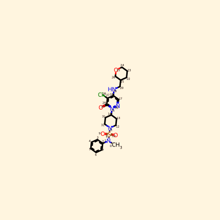 CN(c1ccccc1)S(=O)(=O)N1CCC(n2ncc(NCC3CCCOC3)c(Cl)c2=O)CC1